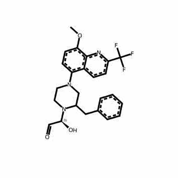 COc1ccc(N2CCN([C@@H](O)C=O)C(Cc3ccccc3)C2)c2ccc(C(F)(F)F)nc12